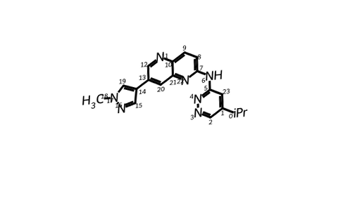 CC(C)c1cnnc(Nc2ccc3ncc(-c4cnn(C)c4)cc3n2)c1